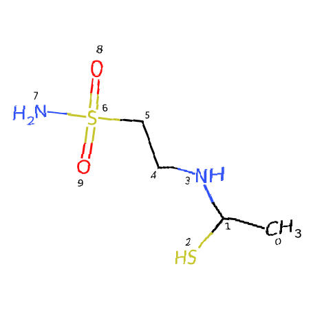 CC(S)NCCS(N)(=O)=O